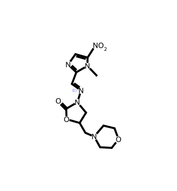 Cn1c([N+](=O)[O-])cnc1/C=N/N1CC(CN2CCOCC2)OC1=O